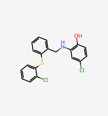 Oc1ccc(Cl)cc1NCc1ccccc1Sc1ccccc1Cl